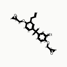 C=CCC1C=C(C(C)(C)c2ccc(OCC3CO3)c(CC)c2)C=CC1OCC1CO1